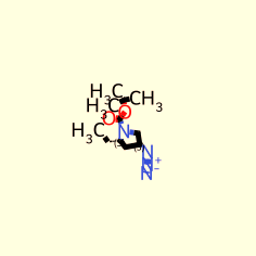 CC[C@H]1C[C@H](N=[N+]=[N-])CN1C(=O)OC(C)(C)C